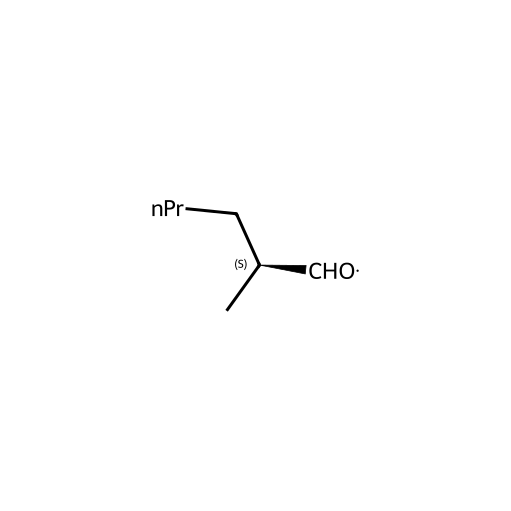 CCCC[C@H](C)[C]=O